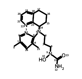 Cc1cnc(N(CCCN(O)C(N)=O)C2CCCc3cccnc32)c(C)c1